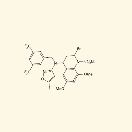 CCOC(=O)N1c2c(cc(OC)nc2OC)C(N(Cc2cc(C(F)(F)F)cc(C(F)(F)F)c2)c2cc(C)on2)CC1CC